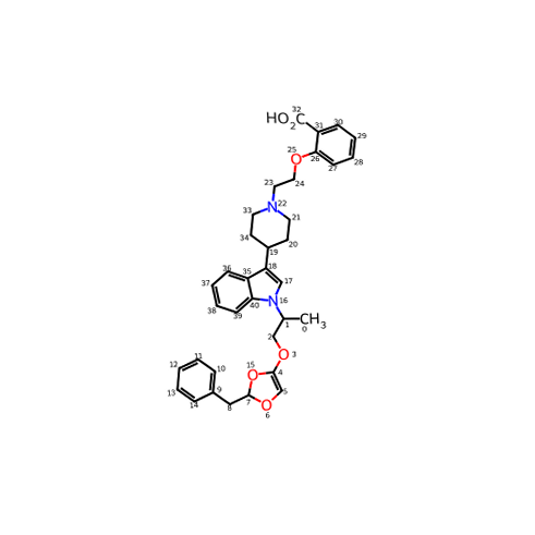 CC(COC1=COC(Cc2ccccc2)O1)n1cc(C2CCN(CCOc3ccccc3C(=O)O)CC2)c2ccccc21